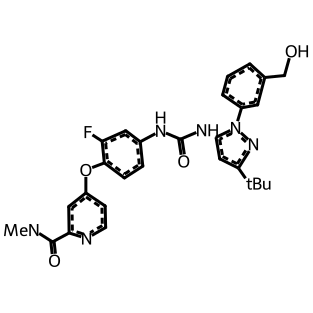 CNC(=O)c1cc(Oc2ccc(NC(=O)Nc3cc(C(C)(C)C)nn3-c3cccc(CO)c3)cc2F)ccn1